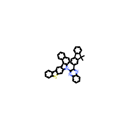 CC1(C)c2ccccc2-c2ccc(-c3nc4ccccc4nc3-n3c4cc5sc6ccccc6c5cc4c4c5ccccc5ccc43)cc21